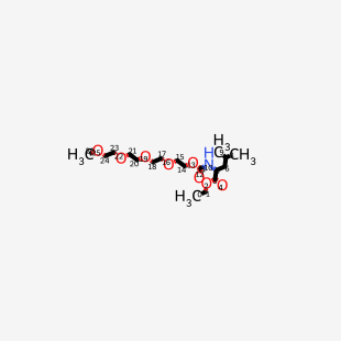 CCOC(=O)C(CC(C)C)NC(=O)OCCOCCOCCOCCOC